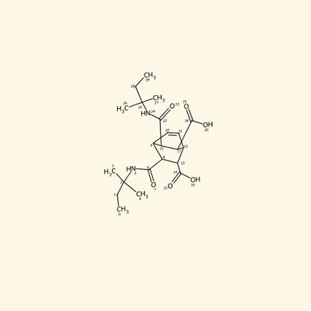 CCC(C)(C)NC(=O)C1C2C=CC(C1C(=O)O)C(C(=O)O)C2C(=O)NC(C)(C)CC